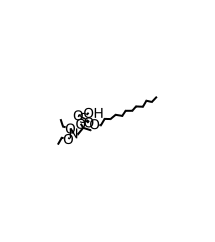 CCCCCCCCCCCCOCC(CN(OCC)OCC)OS(=O)(=O)O